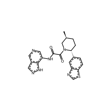 C[C@H]1CC[C@H](c2ccc3scnc3c2)N(C(=O)C(=O)Nc2cncc3cn[nH]c23)C1